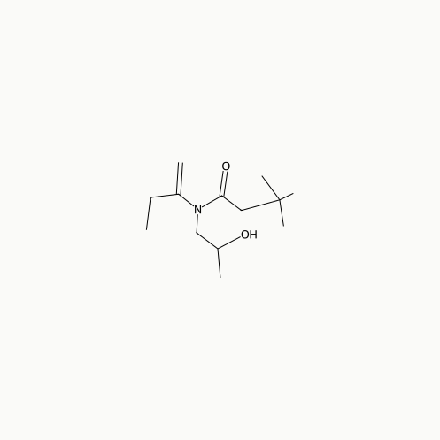 C=C(CC)N(CC(C)O)C(=O)CC(C)(C)C